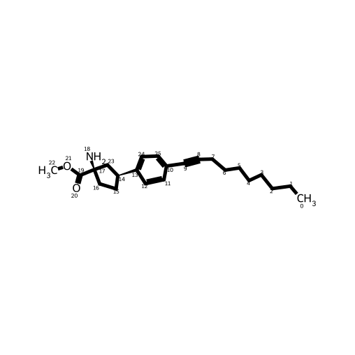 CCCCCCCCC#Cc1ccc([C@H]2CC[C@](N)(C(=O)OC)C2)cc1